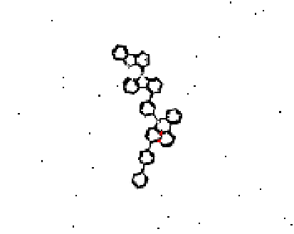 c1ccc2c3c(-c4cccc(N(c5ccc(-c6ccc(-c7ccccc7)cc6)cc5)c5ccccc5-c5ccccc5)c4)cccc3n(-c3cccc4c3sc3ccccc34)c2c#1